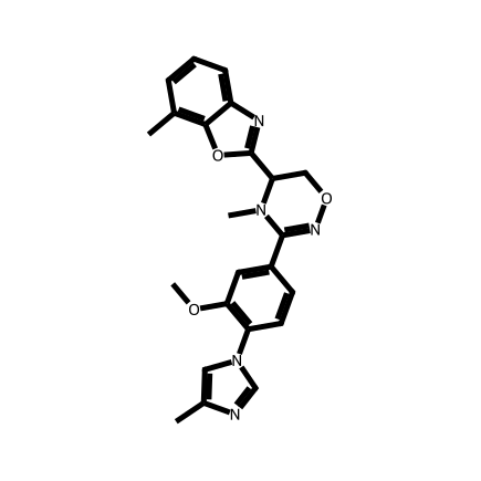 COc1cc(C2=NOCC(c3nc4cccc(C)c4o3)N2C)ccc1-n1cnc(C)c1